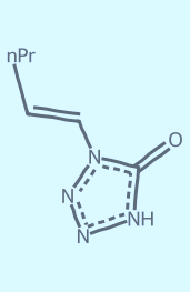 CCCC=Cn1nn[nH]c1=O